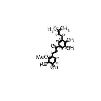 COc1c(C=CC(=O)c2cc(O)c(O)c(CC=C(C)C)c2)ccc(O)c1O